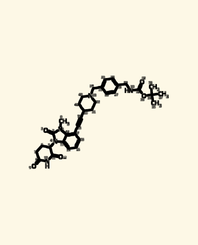 Cn1c(=O)n(C2CCC(=O)NC2=O)c2cccc(C#CC3CCN(Cc4ccc(CNC(=O)OC(C)(C)C)cc4)CC3)c21